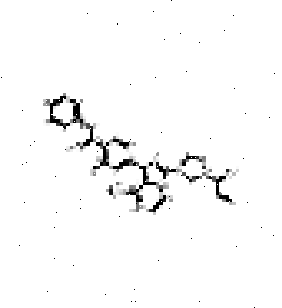 C=CC(=O)N1CCN(c2nc(-c3ccc(C(=O)Nc4ccccc4)c(C)c3)c3c(N)nccn23)C1